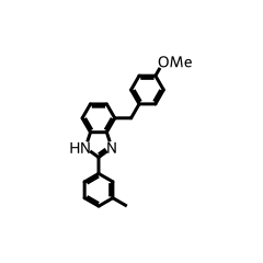 COc1ccc(Cc2cccc3[nH]c(-c4cccc(C)c4)nc23)cc1